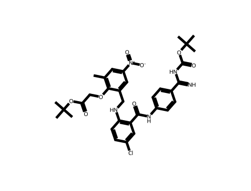 Cc1cc([N+](=O)[O-])cc(CNc2ccc(Cl)cc2C(=O)Nc2ccc(C(=N)NC(=O)OC(C)(C)C)cc2)c1OCC(=O)OC(C)(C)C